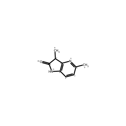 Cc1ccc2c(n1)C(C)C(=O)N2